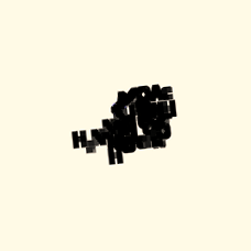 CCC[C@H](C)OC(=O)[C@H](C)N[PH](=O)OC[C@@]1(COC(C)=O)C/C1=C/n1cnc2c(=O)[nH]c(N)nc21